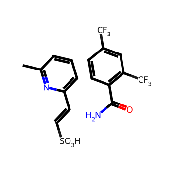 Cc1cccc(/C=C/S(=O)(=O)O)n1.NC(=O)c1ccc(C(F)(F)F)cc1C(F)(F)F